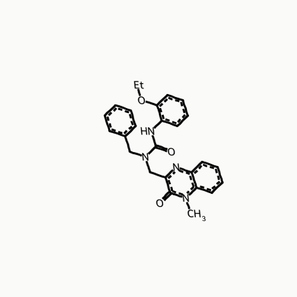 CCOc1ccccc1NC(=O)N(Cc1ccccc1)Cc1nc2ccccc2n(C)c1=O